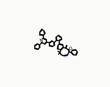 C=C1c2cc(-c3ccccc3-c3cccc(-c4cc(-c5ccccc5)nc(-c5ccccc5)c4)c3)ccc2C(C)(C)C/C=C\c2c1oc1ccccc21